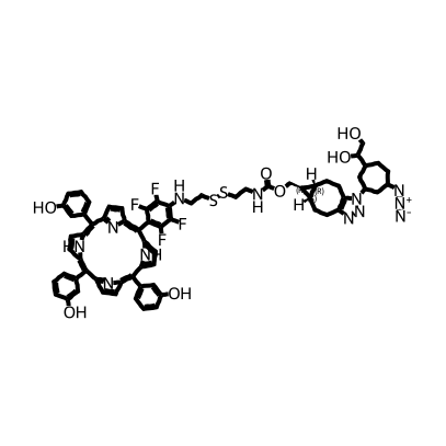 [N-]=[N+]=NC1CCC(C(O)CO)CC(n2nnc3c2CC[C@@H]2[C@H](CC3)[C@H]2COC(=O)NCCSSCCNc2c(F)c(F)c(-c3c4nc(c(-c5cccc(O)c5)c5ccc([nH]5)c(-c5cccc(O)c5)c5nc(c(-c6cccc(O)c6)c6ccc3[nH]6)C=C5)C=C4)c(F)c2F)C1